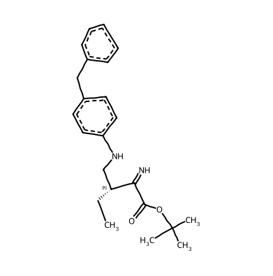 CC[C@H](CNc1ccc(Cc2ccccc2)cc1)C(=N)C(=O)OC(C)(C)C